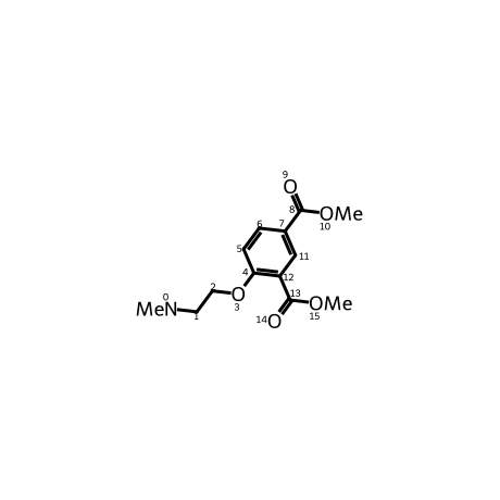 CNCCOc1ccc(C(=O)OC)cc1C(=O)OC